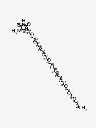 COCCOCCOCCOCCOCCOCCOCCOCCOCCOCCOCCOCCn1cc(N)c(=O)[nH]c1=O